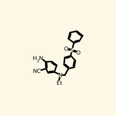 CCN(Cc1ccc(S(=O)(=O)c2ccccc2)cc1)c1ccc(N)c(C#N)c1